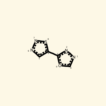 c1nnc(-c2cnns2)o1